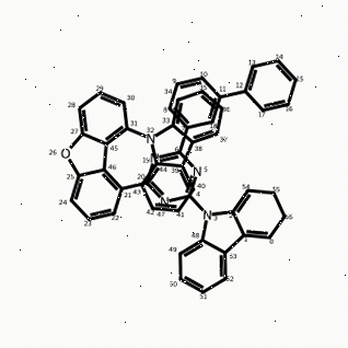 C1=c2c(n(-c3nc(-c4cccc(-c5ccccc5)c4)nc(-c4cccc5oc6cccc(-n7c8ccccc8c8ccccc87)c6c45)n3)c3ccccc23)=CCC1